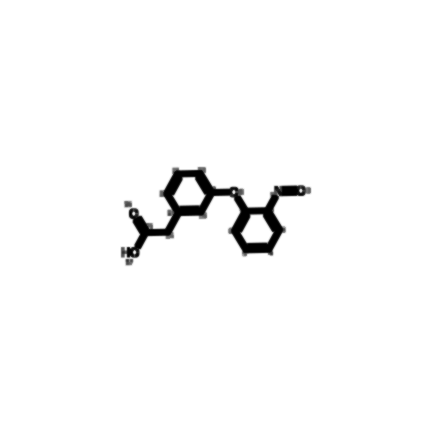 O=Nc1ccccc1Oc1cccc(CC(=O)O)c1